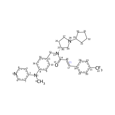 CN(c1ccncc1)c1ccc(CN(C(=O)/C=C/c2ccc(C(F)(F)F)cc2)[C@@H]2CCN(C3CCCC3)C2)cc1